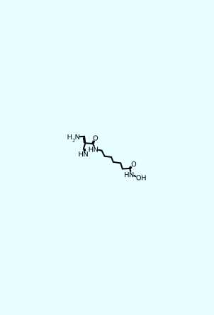 N=C/C(=C\N)C(=O)NCCCCCCC(=O)NO